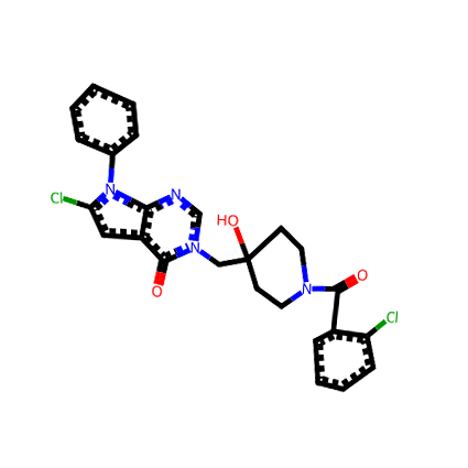 O=C(c1ccccc1Cl)N1CCC(O)(Cn2cnc3c(cc(Cl)n3-c3ccccc3)c2=O)CC1